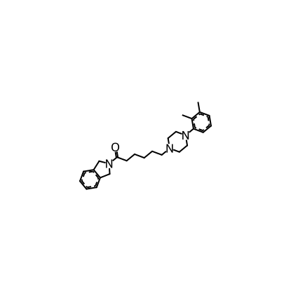 Cc1cccc(N2CCN(CCCCCC(=O)N3Cc4ccccc4C3)CC2)c1C